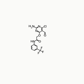 Nc1nc(Cl)c(C=O)c(OCC(=O)Nc2cccc(C(F)(F)F)c2)n1